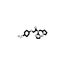 CC1CCC(OCC(=O)N(CC2CCCS2)C2NCCO2)CC1